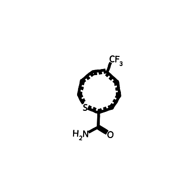 NC(=O)c1cccc(C(F)(F)F)cccs1